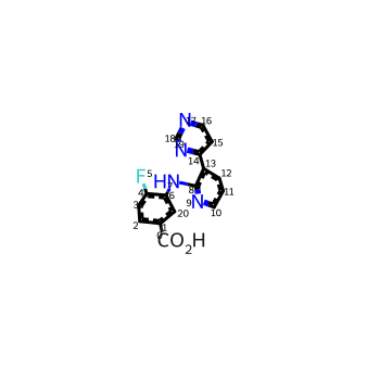 O=C(O)c1ccc(F)c(Nc2ncccc2-c2ccncn2)c1